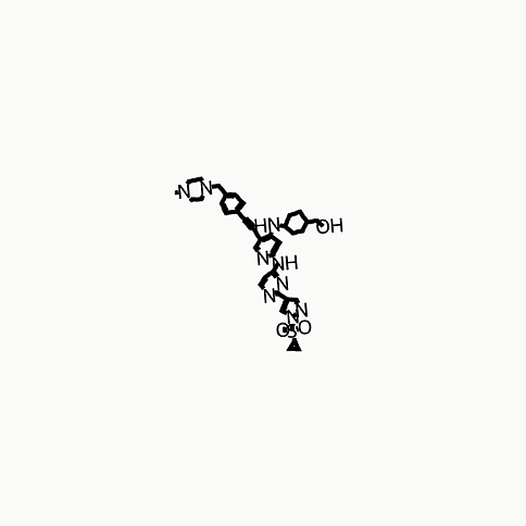 CN1CCN(Cc2ccc(C#Cc3cnc(Nc4ccnc(-c5cnn(S(=O)(=O)C6CC6)c5)n4)cc3NC3CCC(CO)CC3)cc2)CC1